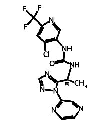 C[C@H](NC(=O)Nc1cnc(C(F)(F)F)cc1Cl)c1ncnn1-c1cnccn1